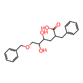 O=C(O)C(Cc1ccccc1)CC(O)C(O)COCc1ccccc1